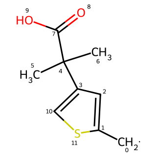 [CH2]c1cc(C(C)(C)C(=O)O)cs1